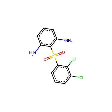 Nc1cccc(N)c1S(=O)(=O)c1cccc(Cl)c1Cl